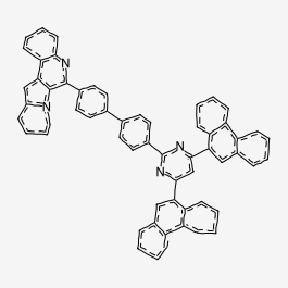 c1ccc2c(c1)cc(-c1cc(-c3cc4ccccc4c4ccccc34)nc(-c3ccc(-c4ccc(-c5nc6ccccc6c6cc7ccccn7c56)cc4)cc3)n1)c1ccccc12